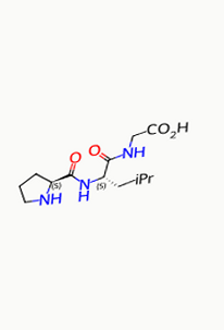 CC(C)C[C@H](NC(=O)[C@@H]1CCCN1)C(=O)NCC(=O)O